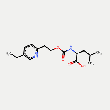 CCc1ccc(CCOC(=O)N[C@@H](CC(C)C)C(=O)O)nc1